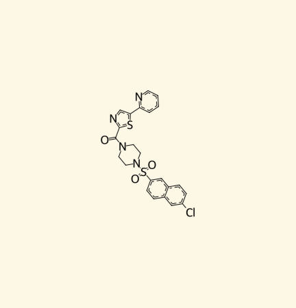 O=C(c1ncc(-c2ccccn2)s1)N1CCN(S(=O)(=O)c2ccc3cc(Cl)ccc3c2)CC1